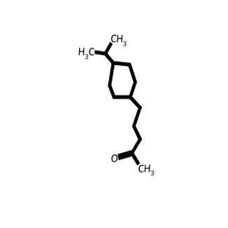 CC(=O)CCCC1CCC(C(C)C)CC1